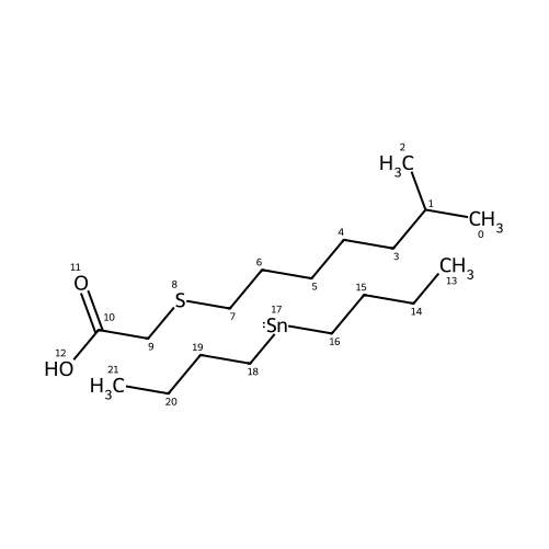 CC(C)CCCCCSCC(=O)O.CCC[CH2][Sn][CH2]CCC